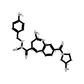 CCCN(OCc1ccc(N)cc1)C(=O)C1=Cc2ccc(C(=O)N3CCC(O)C3)cc2N=C(N)C1